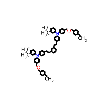 C=Cc1ccc(COCc2ccc(N(c3ccc(C=Cc4cccc(C=Cc5ccc(N(c6ccc(COCc7ccc(C=C)cc7)cc6)c6ccc(C)c(C)c6)cc5)c4)cc3)c3ccc(C)c(C)c3)cc2)cc1